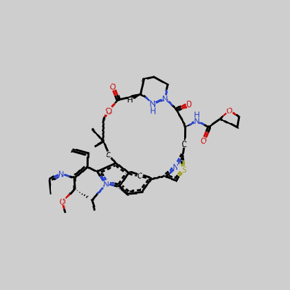 C=C/C(=C(\N=C/C)[C@H](C)OC)c1c2c3cc(ccc3n1CC)-c1csc(n1)C[C@H](NC(=O)C1CCO1)C(=O)N1CCC[C@H](N1)C(=O)OCC(C)(C)C2